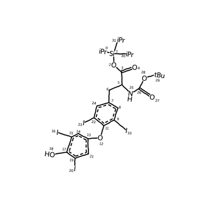 CC(C)[Si](OC(=O)C(Cc1cc(I)c(Oc2cc(I)c(O)c(I)c2)c(I)c1)NC(=O)OC(C)(C)C)(C(C)C)C(C)C